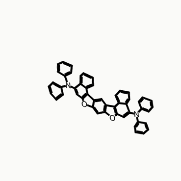 c1ccc(N(c2ccccc2)c2cc3oc4cc5oc6cc(N(c7ccccc7)c7ccccc7)c7ccccc7c6c5cc4c3c3ccccc23)cc1